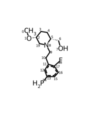 CO[C@@H]1CC[C@H](CO)N(CCc2cc(P)ccc2F)C1